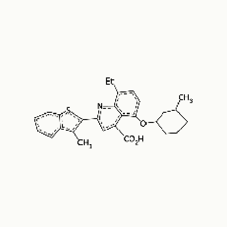 CCc1ccc(OC2CCCC(C)C2)c2c(C(=O)O)cc(-c3sc4ccccc4c3C)nc12